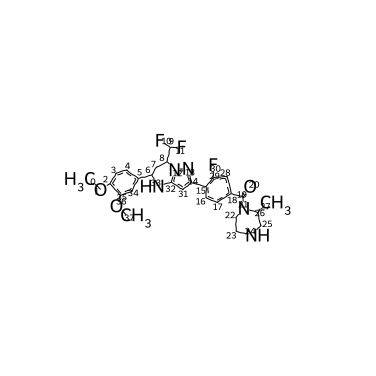 COc1ccc(C2CC(C(F)F)n3nc(-c4ccc(C(=O)N5CCNC[C@@H]5C)cc4F)cc3N2)cc1OC